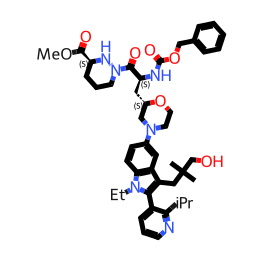 CCn1c(-c2cccnc2C(C)C)c(CC(C)(C)CO)c2cc(N3CCO[C@@H](C[C@H](NC(=O)OCc4ccccc4)C(=O)N4CCC[C@@H](C(=O)OC)N4)C3)ccc21